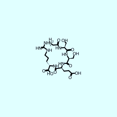 N=C(N)NCCC[C@H](NC(=O)[C@H](CCC(=O)O)NC(=O)[C@H](CO)NC(=O)[C@H](CO)NC(=O)CN)C(=O)O